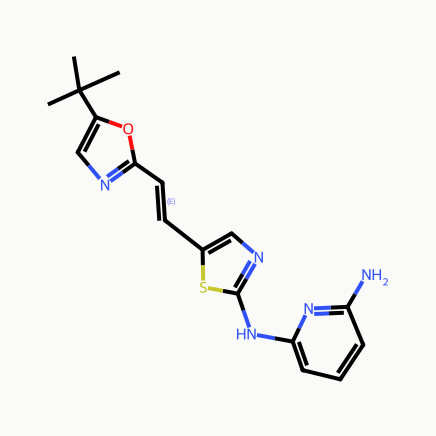 CC(C)(C)c1cnc(/C=C/c2cnc(Nc3cccc(N)n3)s2)o1